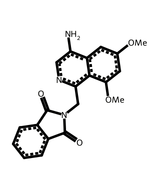 COc1cc(OC)c2c(CN3C(=O)c4ccccc4C3=O)ncc(N)c2c1